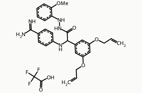 C=CCOc1cc(OCC=C)cc(C(Nc2ccc(C(=N)N)cc2)C(=O)NNc2ccccc2OC)c1.O=C(O)C(F)(F)F